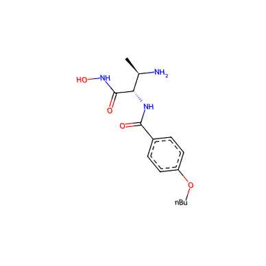 CCCCOc1ccc(C(=O)N[C@H](C(=O)NO)[C@@H](C)N)cc1